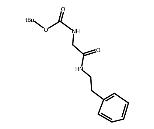 CC(C)(C)OC(=O)NCC(=O)NCCc1ccccc1